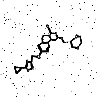 O=c1nc(OC[C@H]2COCCO2)cc2n1CCc1cc(OCc3noc(C4CC4)n3)ccc1-2